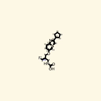 O=C(O)NC/C(=C/F)COc1ccc2nc(C3CCCC3)cn2c1